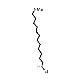 CCNCCCCCCCCCCCCNC